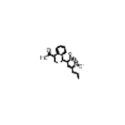 C/C=C(/C(=O)O)c1ccccc1C(C)C(CC(CCC)[N+](=O)[O-])[N+](=O)[O-]